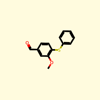 COc1cc(C=O)ccc1Sc1ccccc1